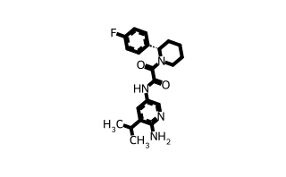 CC(C)c1cc(NC(=O)C(=O)N2CCCC[C@H]2c2ccc(F)cc2)cnc1N